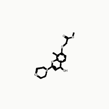 COC(=O)COc1ccc2c(c1C)OC(N1CCOCC1)=CC2O